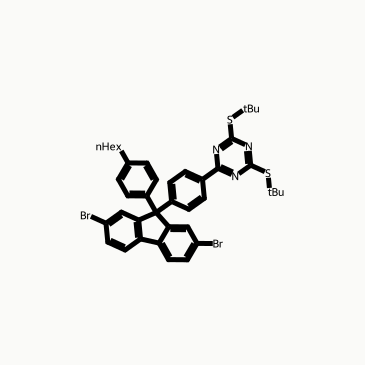 CCCCCCc1ccc(C2(c3ccc(-c4nc(SC(C)(C)C)nc(SC(C)(C)C)n4)cc3)c3cc(Br)ccc3-c3ccc(Br)cc32)cc1